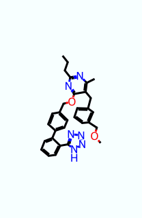 CCCc1nc(C)c(Cc2cccc(COC)c2)c(OCc2ccc(-c3ccccc3-c3nnn[nH]3)cc2)n1